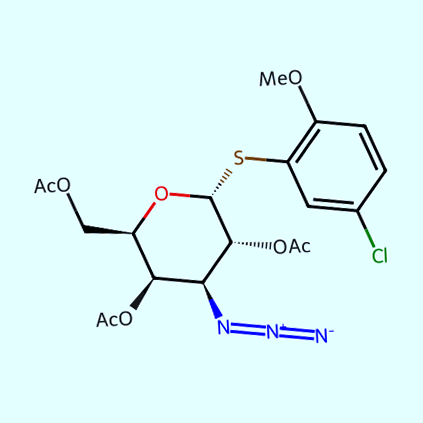 COc1ccc(Cl)cc1S[C@H]1O[C@H](COC(C)=O)[C@H](OC(C)=O)[C@H](N=[N+]=[N-])[C@H]1OC(C)=O